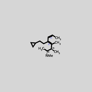 C/C=C\C(CCC1CC1)=C(/C)[C@@H](C)[C@@H](C)NC